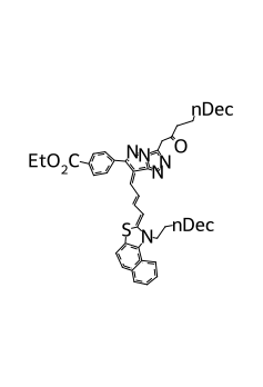 CCCCCCCCCCCCC(=O)Cc1nnc2\c(=C/C=C/C=C3\Sc4ccc5ccccc5c4N3CCCCCCCCCCCC)c(-c3ccc(C(=O)OCC)cc3)nn12